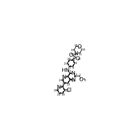 COCc1nc(Nc2ccc(S(=O)(=O)N3CCOCC3)cc2)c2ncc(-c3ncccc3Cl)cc2n1